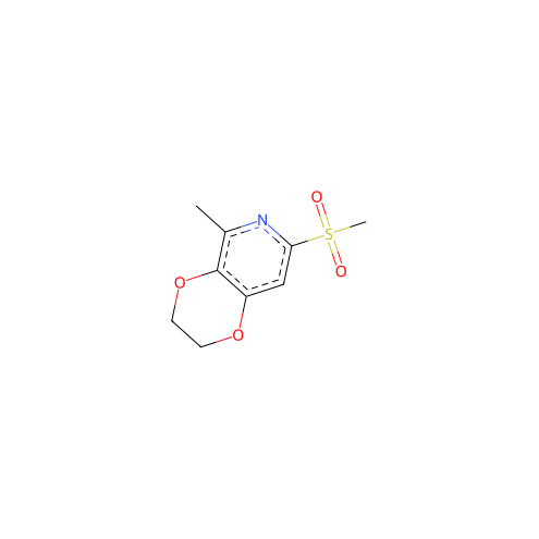 Cc1nc(S(C)(=O)=O)cc2c1OCCO2